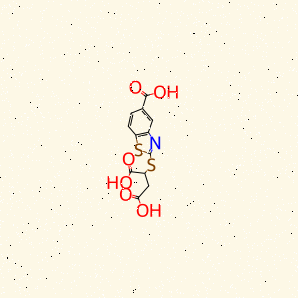 O=C(O)CC(Sc1nc2cc(C(=O)O)ccc2s1)C(=O)O